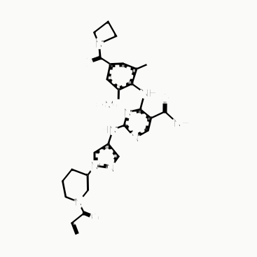 C=CC(=O)N1CCCC(n2cc(Nc3ncc(C(N)=O)c(Nc4c(C)cc(C(=O)N5CCC5)cc4OC)n3)cn2)C1